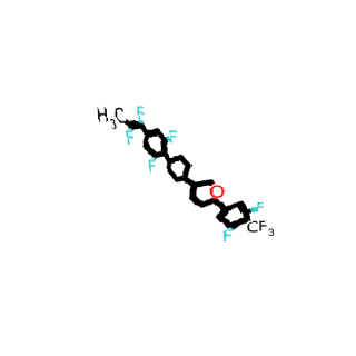 C/C(F)=C(\F)c1cc(F)c(C2CCC(C3CCC(c4cc(F)c(C(F)(F)F)c(F)c4)OC3)CC2)c(F)c1